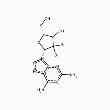 Nc1nc(N)c2ncn([C@@H]3O[C@H](CO)C(O)C3(Br)Br)c2n1